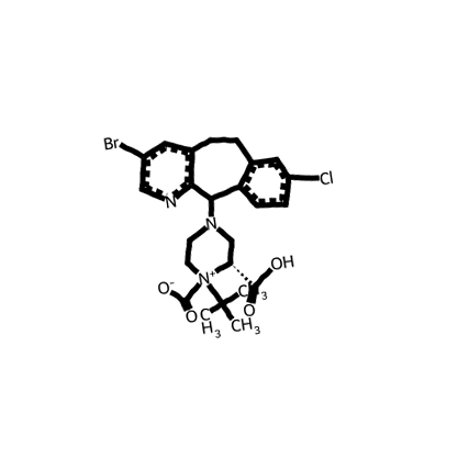 CC(C)(C)[N+]1(C(=O)[O-])CCN(C2c3ccc(Cl)cc3CCc3cc(Br)cnc32)C[C@@H]1C(=O)O